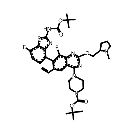 C=Cc1cc2c(N3CCN(C(=O)OC(C)(C)C)CC3)nc(OCC3CCCN3C)nc2c(F)c1-c1ccc(F)c2sc(NC(=O)OC(C)(C)C)nc12